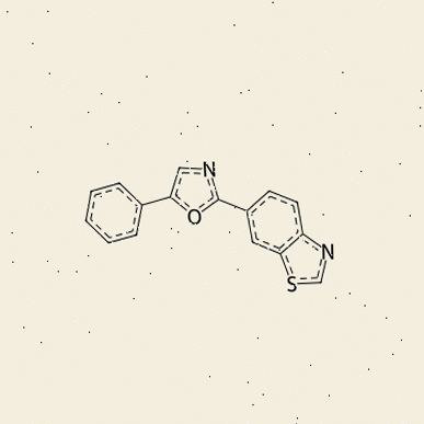 c1ccc(-c2cnc(-c3ccc4ncsc4c3)o2)cc1